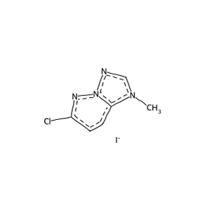 Cn1cn[n+]2nc(Cl)ccc12.[I-]